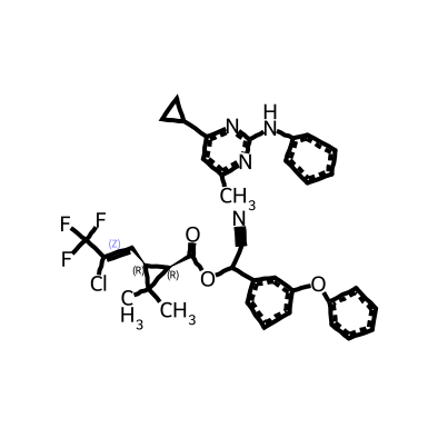 CC1(C)[C@H](C(=O)OC(C#N)c2cccc(Oc3ccccc3)c2)[C@@H]1/C=C(\Cl)C(F)(F)F.Cc1cc(C2CC2)nc(Nc2ccccc2)n1